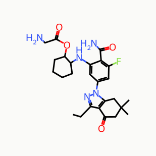 CCc1nn(-c2cc(F)c(C(N)=O)c(NC3CCCCC3OC(=O)CN)c2)c2c1C(=O)CC(C)(C)C2